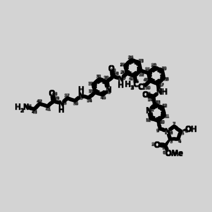 COC(=O)[C@@H]1C[C@@H](O)CN1Cc1ccc(C(=O)Nc2cccc(-c3cccc(NC(=O)c4ccc(CNCCNC(=O)CCCN)cn4)c3C)c2Cl)nc1